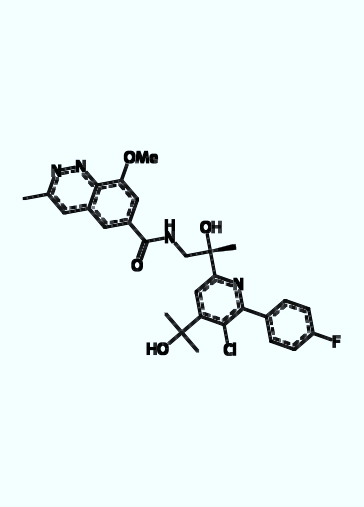 COc1cc(C(=O)NC[C@](C)(O)c2cc(C(C)(C)O)c(Cl)c(-c3ccc(F)cc3)n2)cc2cc(C)nnc12